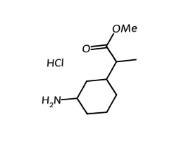 COC(=O)C(C)C1CCCC(N)C1.Cl